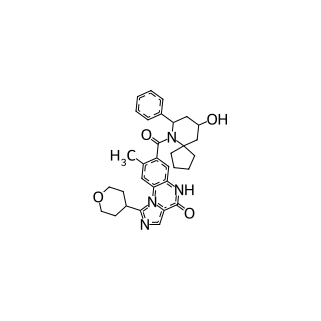 Cc1cc2c(cc1C(=O)N1C(c3ccccc3)CC(O)CC13CCCC3)[nH]c(=O)c1cnc(C3CCOCC3)n12